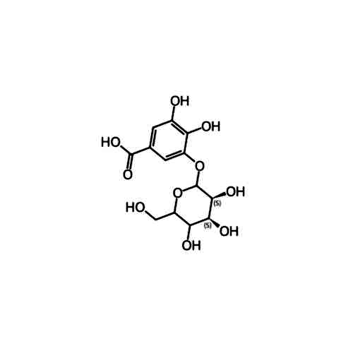 O=C(O)c1cc(O)c(O)c(OC2OC(CO)C(O)[C@H](O)[C@@H]2O)c1